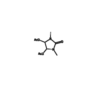 CC(=O)OC1C(OC(C)=O)N(C)C(=O)N1C